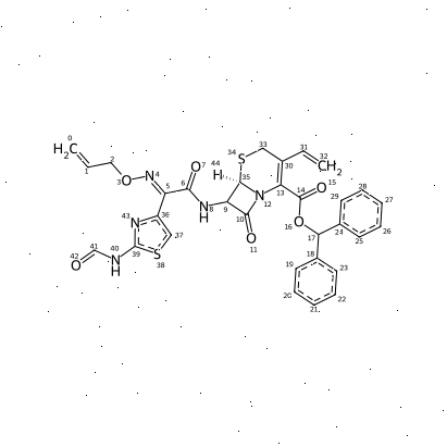 C=CCO/N=C(/C(=O)NC1C(=O)N2C(C(=O)OC(c3ccccc3)c3ccccc3)=C(C=C)CS[C@H]12)c1csc(NC=O)n1